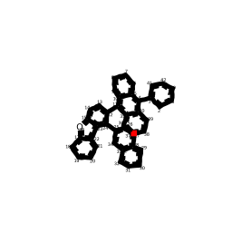 c1ccc(-c2c3ccccc3c(-c3ccc4oc5ccccc5c4c3-c3ccc4ccccc4c3)c3ccccc23)cc1